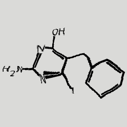 Nc1nc(O)c(Cc2ccccc2)c(I)n1